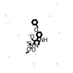 CCOC(=O)N(c1ncc2[nH]c3ccc(OCc4ccccc4)cc3c2c1COC)[Si](C)(C)C